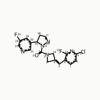 O=C(N1CC(=Cc2ccc(Cl)nc2F)C1)N1N=CCC1c1cncc(F)c1